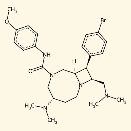 COc1ccc(NC(=O)N2C[C@@H](N(C)C)CCN3[C@H](CN(C)C)[C@H](c4ccc(Br)cc4)[C@@H]3C2)cc1